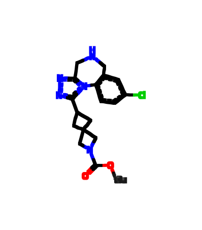 CC(C)(C)OC(=O)N1CC2(CC(c3nnc4n3-c3ccc(Cl)cc3CNC4)C2)C1